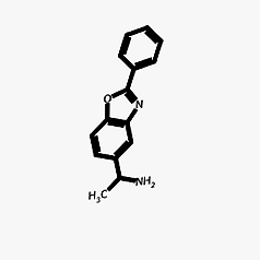 CC(N)c1ccc2oc(-c3ccccc3)nc2c1